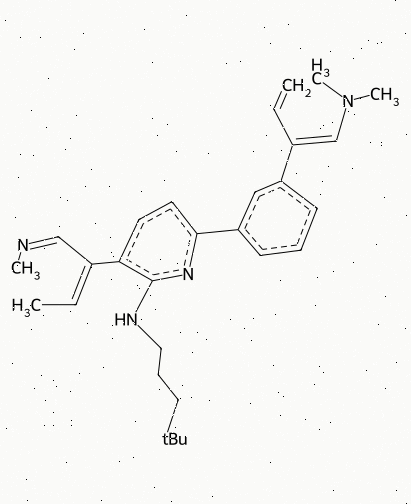 C=C/C(=C\N(C)C)c1cccc(-c2ccc(C(/C=N\C)=C/C)c(NCCCC(C)(C)C)n2)c1